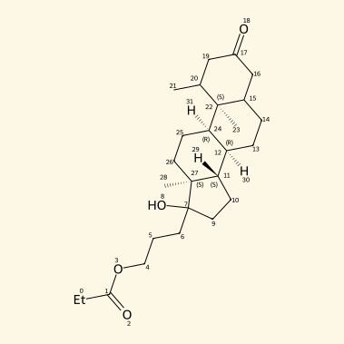 CCC(=O)OCCCC1(O)CC[C@H]2[C@@H]3CCC4CC(=O)CC(C)[C@]4(C)[C@@H]3CC[C@@]21C